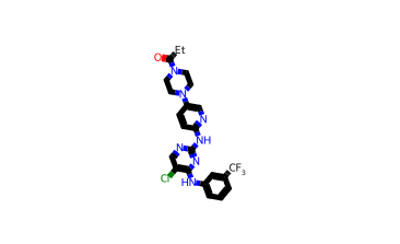 CCC(=O)N1CCN(c2ccc(Nc3ncc(Cl)c(Nc4cccc(C(F)(F)F)c4)n3)nc2)CC1